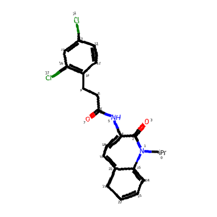 CC(C)N1C(=O)C(NC(=O)CCc2ccc(Cl)cc2Cl)=CC=C2CC=CC=C21